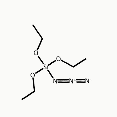 CCO[Si](N=[N+]=[N-])(OCC)OCC